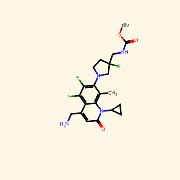 Cc1c(N2CCC(F)(CNC(=O)OC(C)(C)C)C2)c(F)c(F)c2c(CN)cc(=O)n(C3CC3)c12